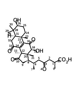 CC(CC(=O)C[C@@H](C)[C@H]1CC(=O)[C@@]2(C)C3=C(C(=O)[C@@H](O)[C@]12C)[C@@]1(C)CC[C@H](O)C(C)(C)[C@@H]1CC3=O)C(=O)O